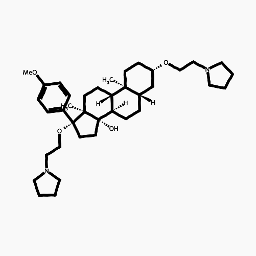 COc1ccc([C@]2(OCCN3CCCC3)CC[C@]3(O)[C@@H]4CC[C@H]5C[C@@H](OCCN6CCCC6)CC[C@]5(C)[C@H]4CC[C@]23C)cc1